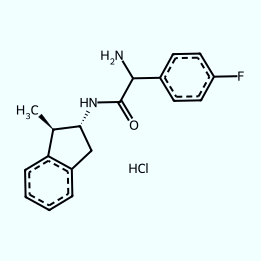 C[C@@H]1c2ccccc2C[C@H]1NC(=O)C(N)c1ccc(F)cc1.Cl